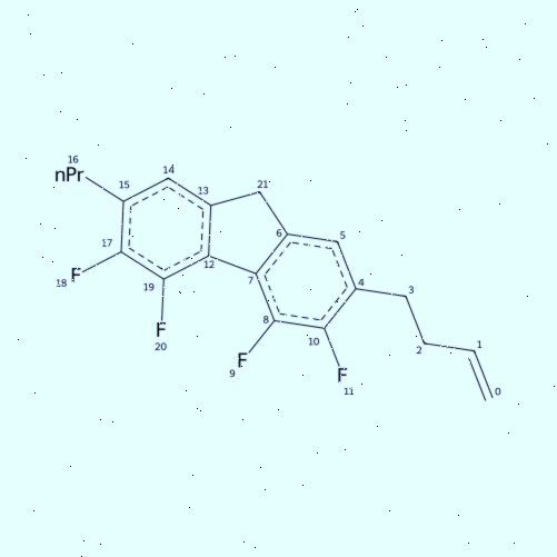 C=CCCc1cc2c(c(F)c1F)-c1c(cc(CCC)c(F)c1F)C2